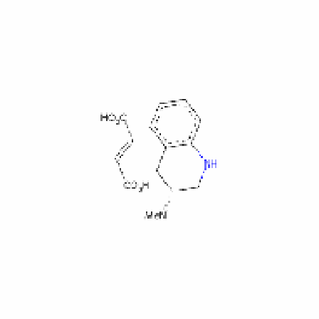 CN[C@H]1CNc2ccccc2C1.O=C(O)C=CC(=O)O